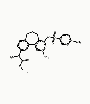 COC(=O)N(C)c1ccc2c(c1)-c1nc(N)nc(OS(=O)(=O)c3ccc(C)cc3)c1CCC2